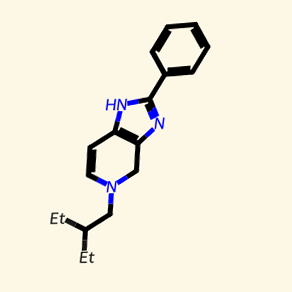 CCC(CC)CN1C=Cc2[nH]c(-c3ccccc3)nc2C1